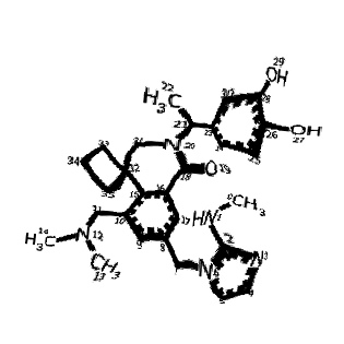 CNc1nccn1Cc1cc(CN(C)C)c2c(c1)C(=O)N(C(C)c1ccc(O)c(O)c1)CC21CCC1